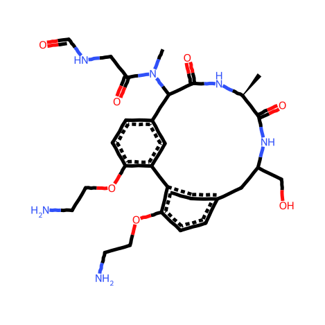 C[C@@H]1NC(=O)C(N(C)C(=O)CNC=O)c2ccc(OCCN)c(c2)-c2cc(ccc2OCCN)CC(CO)NC1=O